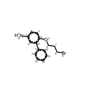 Nc1ccc(OCCCBr)c(-c2ccccc2)c1